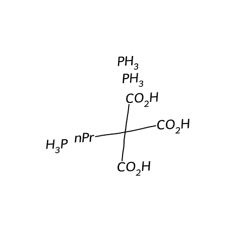 CCCC(C(=O)O)(C(=O)O)C(=O)O.P.P.P